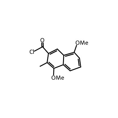 COc1cccc2c(OC)c(C)c(C(=O)Cl)cc12